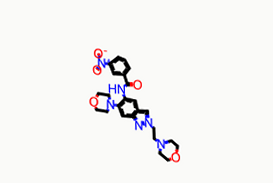 O=C(Nc1cc2cn(CCN3CCOCC3)nc2cc1N1CCOCC1)c1cccc([N+](=O)[O-])c1